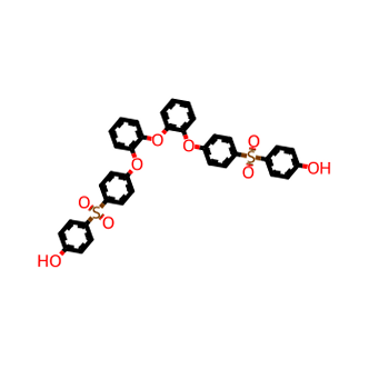 O=S(=O)(c1ccc(O)cc1)c1ccc(Oc2ccccc2Oc2ccccc2Oc2ccc(S(=O)(=O)c3ccc(O)cc3)cc2)cc1